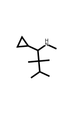 CNC(C1CC1)C(C)(C)C(C)C